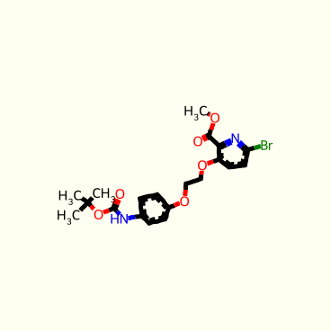 COC(=O)c1nc(Br)ccc1OCCOc1ccc(NC(=O)OC(C)(C)C)cc1